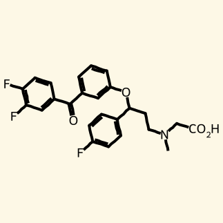 CN(CCC(Oc1cccc(C(=O)c2ccc(F)c(F)c2)c1)c1ccc(F)cc1)CC(=O)O